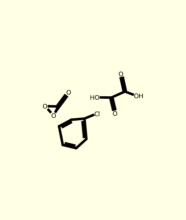 Clc1ccccc1.O=C(O)C(=O)O.O=C1OO1